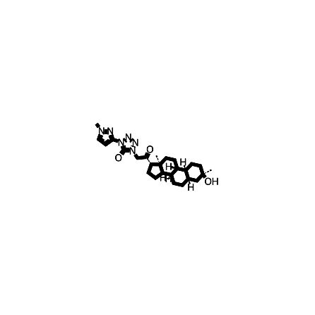 Cn1ccc(-n2nnn(CC(=O)[C@H]3CC[C@H]4[C@@H]5CC[C@@H]6C[C@](C)(O)CC[C@@H]6[C@H]5CC[C@]34C)c2=O)n1